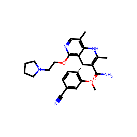 COc1cc(C#N)ccc1[C@H]1C(C(N)=O)=C(C)Nc2c(C)cnc(OCCN3CCCC3)c21